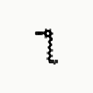 O=Cc1cccc(OCCCCCCCC(=O)O)c1